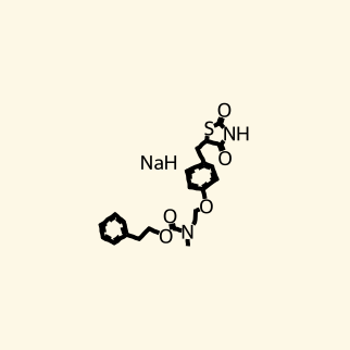 CN(CCOc1ccc(CC2SC(=O)NC2=O)cc1)C(=O)OCCc1ccccc1.[NaH]